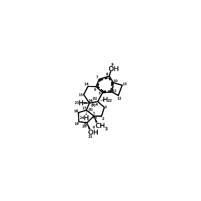 C[C@]12CC[C@@H]3c4c(cc(O)c5c4CC5)CC[C@H]3[C@@H]1CC[C@@H]2O